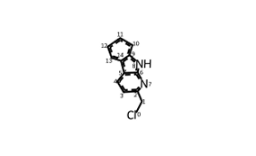 ClCc1ccc2c(n1)[nH]c1ccccc12